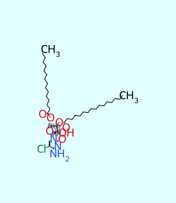 CCCCCCCCCCCCCCCC(=O)OC[C@H]1O[C@@H](n2cc(Cl)c(N)nc2=O)[C@@H](O)[C@@H]1OC(=O)CCCCCCCCCCCCCCC